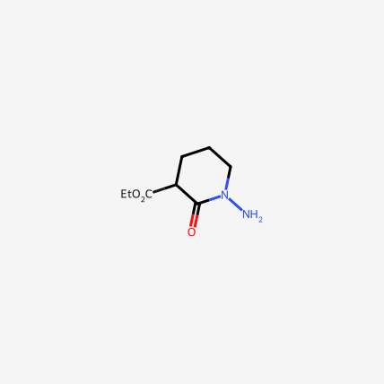 CCOC(=O)C1CCCN(N)C1=O